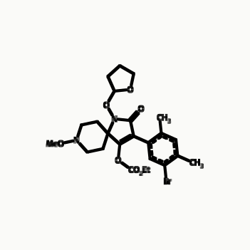 CCOC(=O)OC1=C(c2cc(Br)c(C)cc2C)C(=O)N(OC2CCCO2)C12CCN(OC)CC2